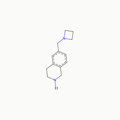 CCN1CCc2cc(CN3CCC3)ccc2C1